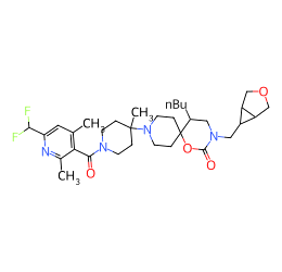 CCCCC1CN(CC2C3COCC32)C(=O)OC12CCN(C1(C)CCN(C(=O)c3c(C)cc(C(F)F)nc3C)CC1)CC2